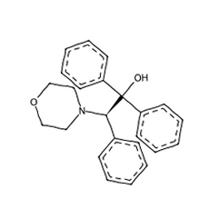 OC(c1ccccc1)(c1ccccc1)[C@@H](c1ccccc1)N1CCOCC1